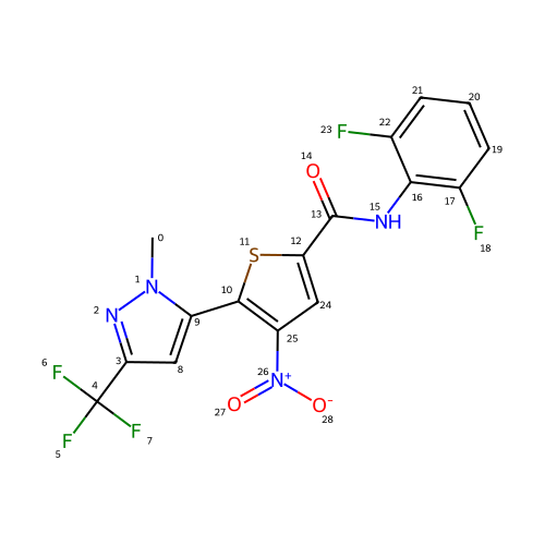 Cn1nc(C(F)(F)F)cc1-c1sc(C(=O)Nc2c(F)cccc2F)cc1[N+](=O)[O-]